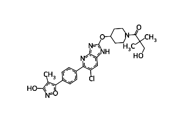 Cc1c(O)noc1-c1ccc(-c2nc3nc(OC4CCN(C(=O)C(C)(C)CO)CC4)[nH]c3cc2Cl)cc1